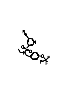 CCN(Cc1ccc(OC(F)(F)F)cc1)S(=O)(=O)c1cncc(C#N)c1